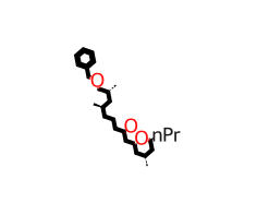 CCC[C@@H]1C[C@H](C)CC(CC(=O)CCC[C@@H](C)C[C@@H](C)COCc2ccccc2)O1